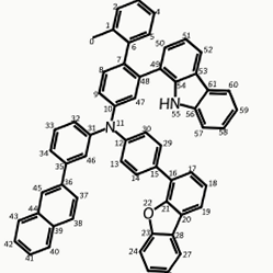 Cc1ccccc1-c1ccc(N(c2ccc(-c3cccc4c3oc3ccccc34)cc2)c2cccc(-c3ccc4ccccc4c3)c2)cc1-c1cccc2c1[nH]c1ccccc12